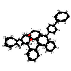 c1ccc(-c2ccc(-c3c4ccccc4c(-c4ccccc4-c4cccc5c4sc4ccccc45)c4ccccc34)cc2)cc1